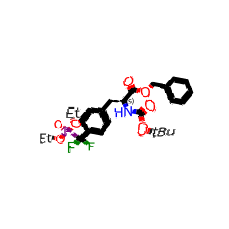 CCOP(=O)(OCC)C(F)(F)c1ccc(C[C@H](NC(=O)OC(C)(C)C)C(=O)OCc2ccccc2)cc1